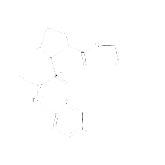 C[C@H](NC(=O)N1CCCC1C(=O)N(C)Nc1ccccc1)C(=O)O